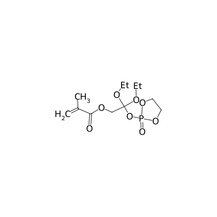 C=C(C)C(=O)OCC(OCC)(OCC)OP1(=O)OCCO1